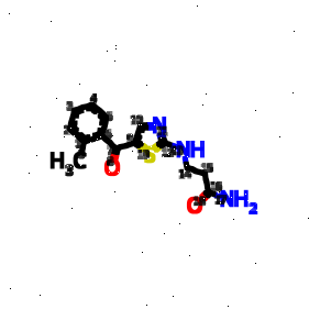 Cc1ccccc1C(=O)c1cnc(NCCC(N)=O)s1